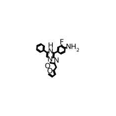 Nc1ccc(-c2[nH]c(-c3ccccc3)cn3c(=O)c(Cc4ccco4)nc2-3)cc1F